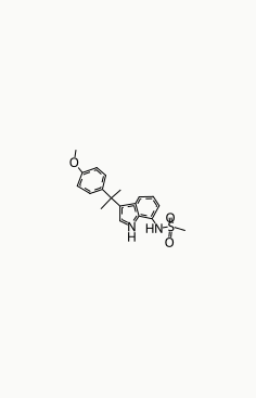 COc1ccc(C(C)(C)c2c[nH]c3c(NS(C)(=O)=O)cccc23)cc1